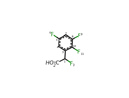 O=C(O)C(F)c1cc(F)cc(F)c1F